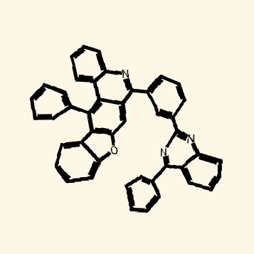 c1ccc(-c2nc(-c3cccc(-c4nc5ccccc5c5c(-c6ccccc6)c6c(cc45)oc4ccccc46)c3)nc3ccccc23)cc1